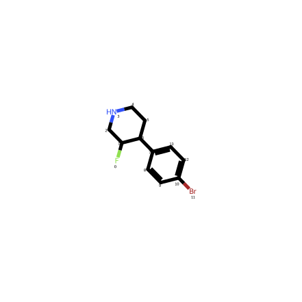 FC1CNCCC1c1ccc(Br)cc1